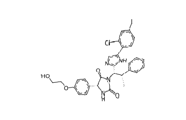 C[C@@H](c1ccccc1)[C@@H](c1ncc(-c2ccc(I)cc2Cl)[nH]1)N1C(=O)N[C@H](c2ccc(OCCO)cc2)C1=O